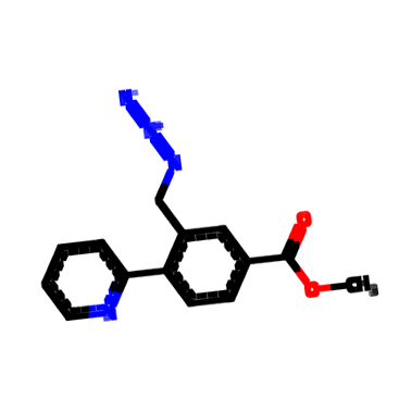 COC(=O)c1ccc(-c2ccccn2)c(CN=[N+]=[N-])c1